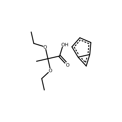 CCOC(C)(OCC)C(=O)O.c1cc2cc-2c1